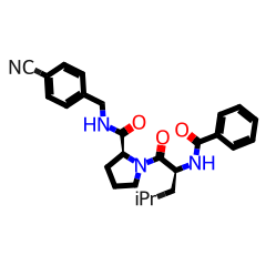 CC(C)C[C@H](NC(=O)c1ccccc1)C(=O)N1CCC[C@H]1C(=O)NCc1ccc(C#N)cc1